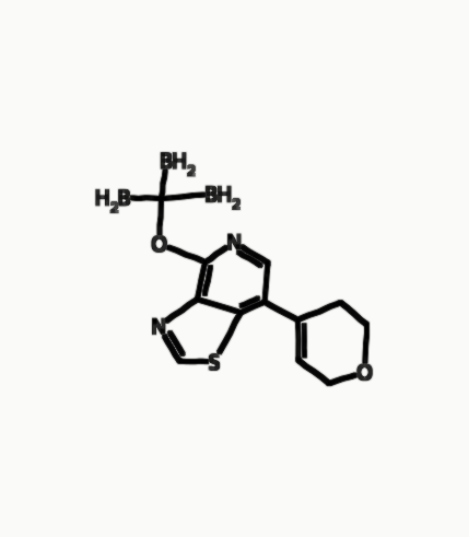 BC(B)(B)Oc1ncc(C2=CCOCC2)c2scnc12